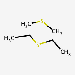 CCSCC.CSC